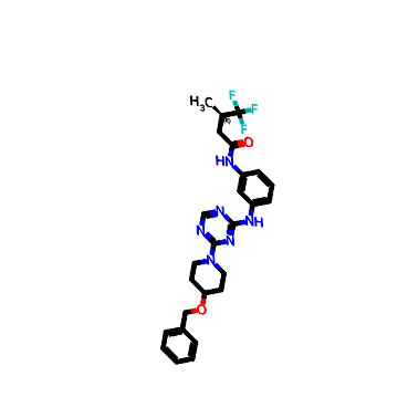 C[C@H](CC(=O)Nc1cccc(Nc2ncnc(N3CCC(OCc4ccccc4)CC3)n2)c1)C(F)(F)F